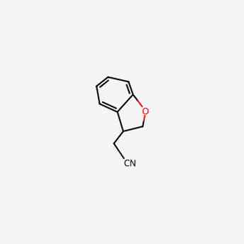 N#CCC1COc2ccccc21